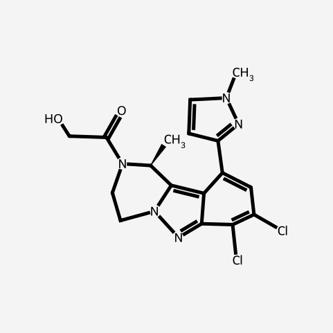 C[C@H]1c2c3c(-c4ccn(C)n4)cc(Cl)c(Cl)c3nn2CCN1C(=O)CO